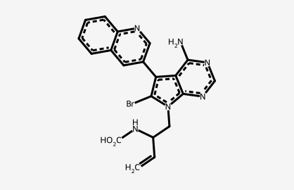 C=CC(Cn1c(Br)c(-c2cnc3ccccc3c2)c2c(N)ncnc21)NC(=O)O